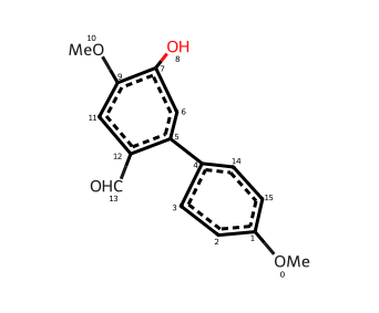 COc1ccc(-c2cc(O)c(OC)cc2C=O)cc1